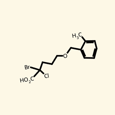 Cc1ccccc1COCCCC(Cl)(Br)C(=O)O